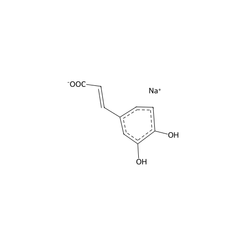 O=C([O-])C=Cc1ccc(O)c(O)c1.[Na+]